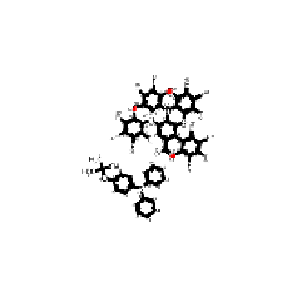 CC(C)(C)Oc1ccc([S+](c2ccccc2)c2ccccc2)cc1.O=C([O-])c1cc(Oc2c(F)c(F)c(F)c(F)c2F)c(Oc2c(F)c(F)c(F)c(F)c2F)c(Oc2c(F)c(F)c(F)c(F)c2F)c1-c1c(F)c(F)c(F)c(F)c1F